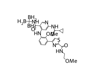 BC(B)(B)NC(=O)c1cnc(NC(=O)C2CC2)cc1Nc1cccc(-c2csc(C(=O)NCCOC)n2)c1OC